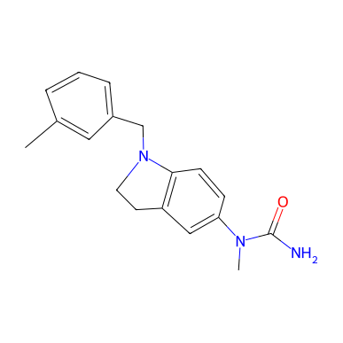 Cc1cccc(CN2CCc3cc(N(C)C(N)=O)ccc32)c1